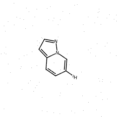 [2H]c1ccc2ccnn2c1